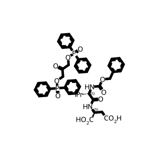 CC(C)[C@H](NC(=O)OCc1ccccc1)C(=O)N[C@@H](CC(=O)O)C(=O)O.O=C(COP(=O)(c1ccccc1)c1ccccc1)COP(=O)(c1ccccc1)c1ccccc1